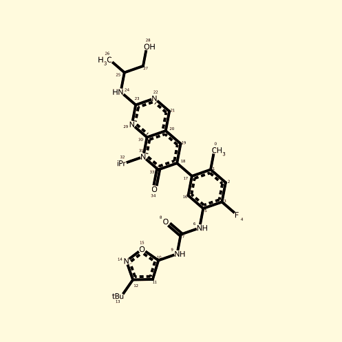 Cc1cc(F)c(NC(=O)Nc2cc(C(C)(C)C)no2)cc1-c1cc2cnc(NC(C)CO)nc2n(C(C)C)c1=O